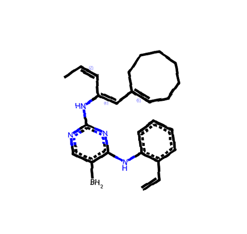 Bc1cnc(NC(/C=C\C)=C/C2=C/CCCCCC2)nc1Nc1ccccc1C=C